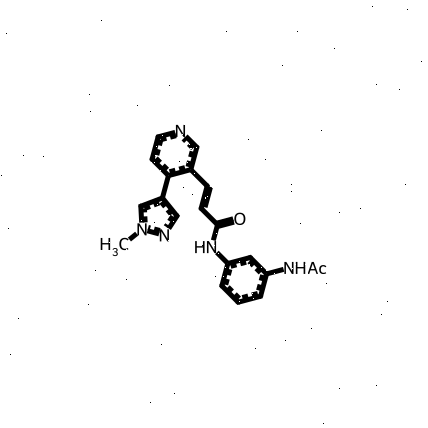 CC(=O)Nc1cccc(NC(=O)C=Cc2cnccc2-c2cnn(C)c2)c1